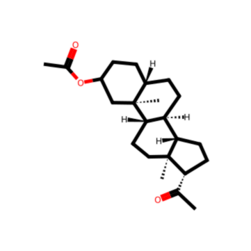 CC(=O)OC1CC[C@@H]2CC[C@@H]3[C@H](CC[C@]4(C)[C@@H](C(C)=O)CC[C@@H]34)[C@@]2(C)C1